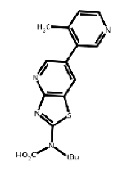 Cc1ccncc1-c1cnc2nc(N(C(=O)O)C(C)(C)C)sc2c1